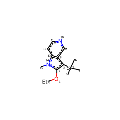 CCOc1c([Si](C)(C)C)c2cnccc2n1C